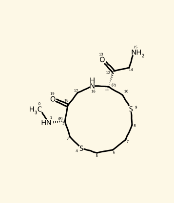 CN[C@H]1CSCCCCSC[C@@H](C(=O)CN)NCC1=O